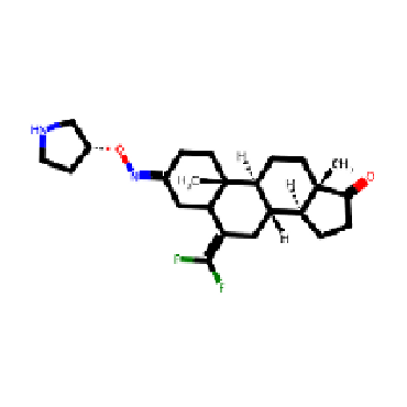 C[C@]12CC/C(=N\O[C@@H]3CCNC3)CC1C(=C(F)F)C[C@@H]1[C@@H]2CC[C@]2(C)C(=O)CC[C@@H]12